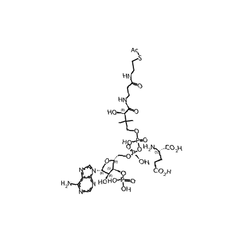 CC(=O)SCCNC(=O)CCNC(=O)[C@H](O)C(C)(C)COP(=O)(O)OP(=O)(O)OC[C@H]1O[C@@H](n2cnc3c(N)ncnc32)[C@H](O)[C@@H]1OP(=O)(O)O.N[C@@H](CCC(=O)O)C(=O)O